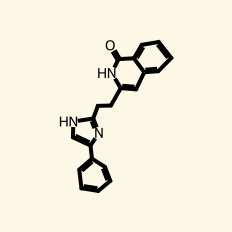 O=c1[nH]c(CCc2nc(-c3ccccc3)c[nH]2)cc2ccccc12